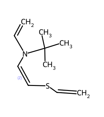 C=CS/C=C\N(C=C)C(C)(C)C